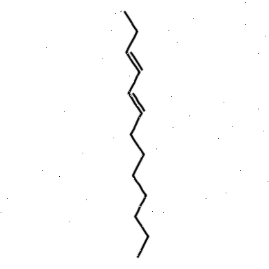 [CH2]CC=CC=CCCCCCCC